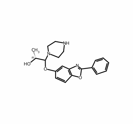 C[C@@H](O)C(Oc1ccc2oc(-c3ccccc3)nc2c1)N1CCNCC1